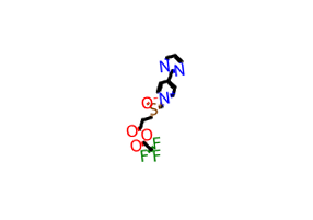 O=C(CC[S+]([O-])C[n+]1ccc(-c2ncccn2)cc1)OC(=O)C(F)(F)F